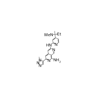 CC[C@](C)(NC)c1ccnc(Nc2cc3cc(-c4cnnn4C)nc(N)c3cn2)c1